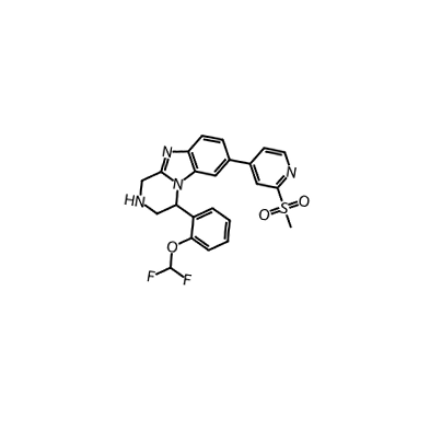 CS(=O)(=O)c1cc(-c2ccc3nc4n(c3c2)C(c2ccccc2OC(F)F)CNC4)ccn1